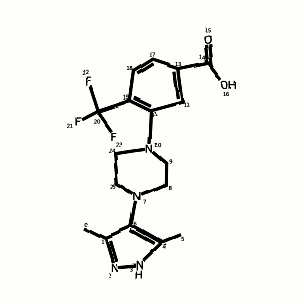 Cc1n[nH]c(C)c1N1CCN(c2cc(C(=O)O)ccc2C(F)(F)F)CC1